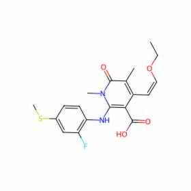 CCO/C=C\c1c(C(=O)O)c(Nc2ccc(SC)cc2F)n(C)c(=O)c1C